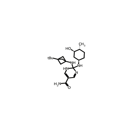 C[C@@H]1CC[C@@H](NC2(NC34CC(C(C)(C)C)(C3)C4)N=CC(C(N)=O)=CN2)C[C@H]1O